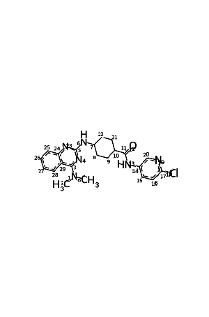 CN(C)c1nc(NC2CCC(C(=O)Nc3ccc(Cl)nc3)CC2)nc2ccccc12